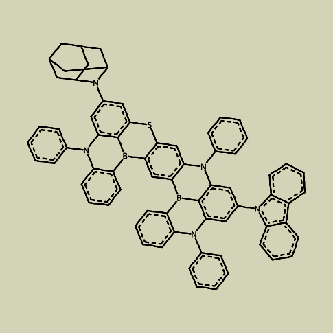 c1ccc(N2c3ccccc3B3c4cc5c(cc4Sc4cc(N6C7CC8CC(C7)CC6C8)cc2c43)N(c2ccccc2)c2cc(-n3c4ccccc4c4ccccc43)cc3c2B5c2ccccc2N3c2ccccc2)cc1